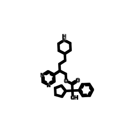 O=C(OCC(CCC1CCNCC1)c1cncnc1)C(O)(c1ccccc1)C1CCCC1